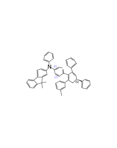 C=C(/C=C\C(=C/C)N(c1ccccc1)c1ccc2c(c1)C(C)(C)c1ccccc1-2)C1=C(c2cccc(C)c2)C[C@H](c2ccccc2)C=C1c1ccccc1